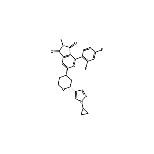 CN1C(=O)c2cc([C@@H]3CCO[C@@H](c4cnn(C5CC5)c4)C3)nc(-c3ccc(F)cc3F)c2C1=O